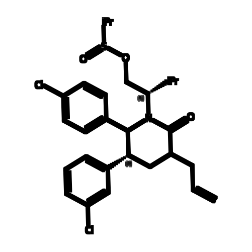 C=CCC1C[C@H](c2cccc(Cl)c2)C(c2ccc(Cl)cc2)N([C@H](COS(=O)C(C)C)C(C)C)C1=O